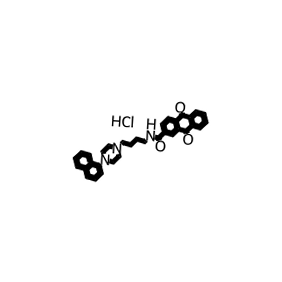 Cl.O=C(NCCCCN1CCN(c2cccc3ccccc23)CC1)c1ccc2c(c1)C(=O)c1ccccc1C2=O